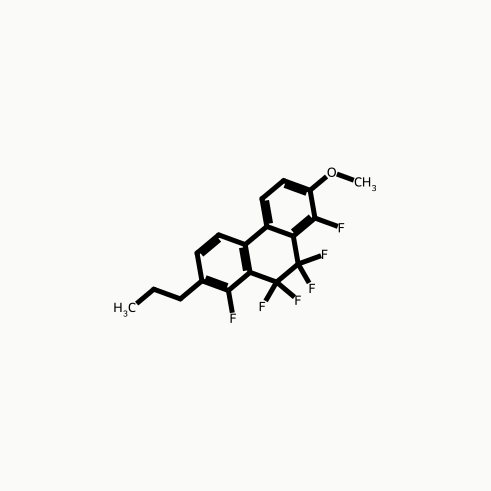 CCCc1ccc2c(c1F)C(F)(F)C(F)(F)c1c-2ccc(OC)c1F